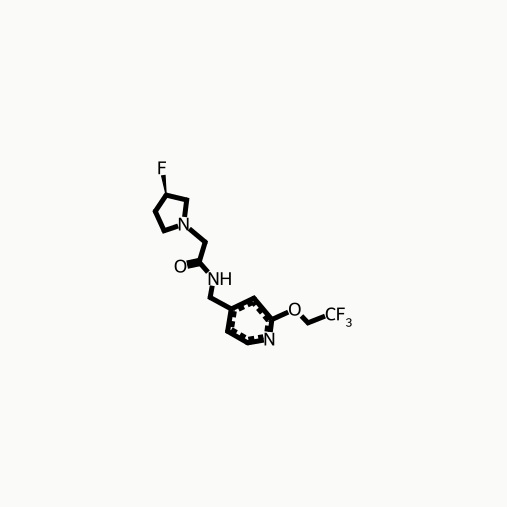 O=C(CN1CC[C@@H](F)C1)NCc1ccnc(OCC(F)(F)F)c1